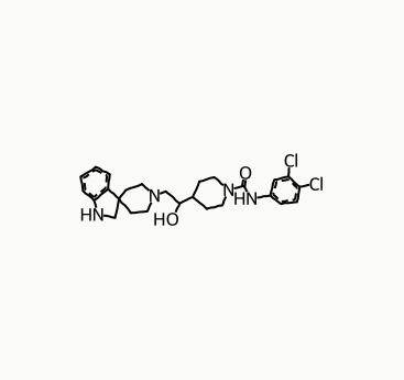 O=C(Nc1ccc(Cl)c(Cl)c1)N1CCC(C(O)CN2CCC3(CC2)CNc2ccccc23)CC1